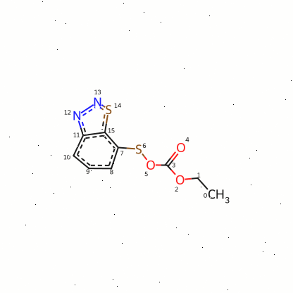 CCOC(=O)OSc1cccc2nnsc12